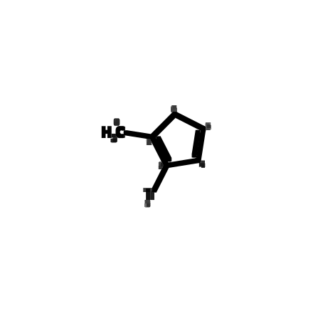 CC1=[C]([Ti])C=CC1